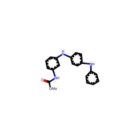 COC(=O)Nc1cccc(Nc2ccc(Nc3ccccc3)cc2)c1